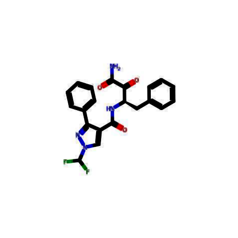 NC(=O)C(=O)[C@@H](Cc1ccccc1)NC(=O)c1cn(C(F)F)nc1-c1ccccc1